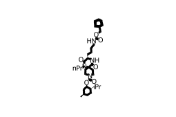 CCCN1C(=O)[C@H](CCCCNC(=O)OCc2ccccc2)NC(=O)C12CCN(C(=O)O[C@@H]1C[C@H](C)CC[C@H]1C(C)C)CC2